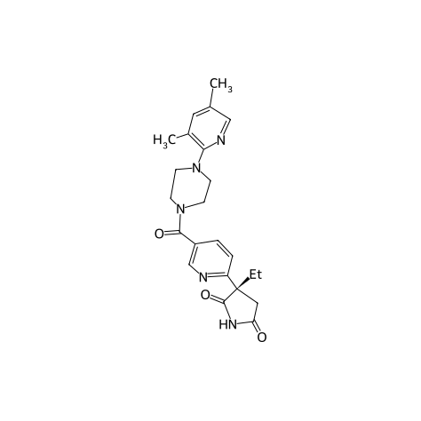 CC[C@@]1(c2ccc(C(=O)N3CCN(c4ncc(C)cc4C)CC3)cn2)CC(=O)NC1=O